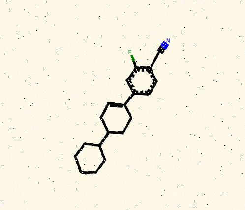 N#Cc1ccc(C2=CCC(C3CCCCC3)CC2)cc1F